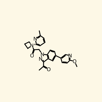 COc1ccc(-c2ccc3c(c2)c(C(C)=O)nn3CC(=O)[N+]2(c3cccc(C)n3)CCC2)cn1